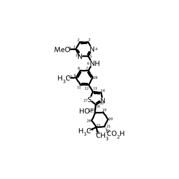 COc1ccnc(Nc2cc(C)cc(-c3cnc([C@@]4(O)CC[C@H](C(=O)O)C(C)(C)C4)s3)c2)n1